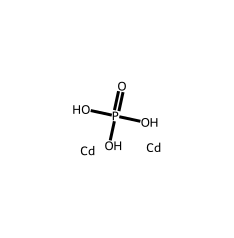 O=P(O)(O)O.[Cd].[Cd]